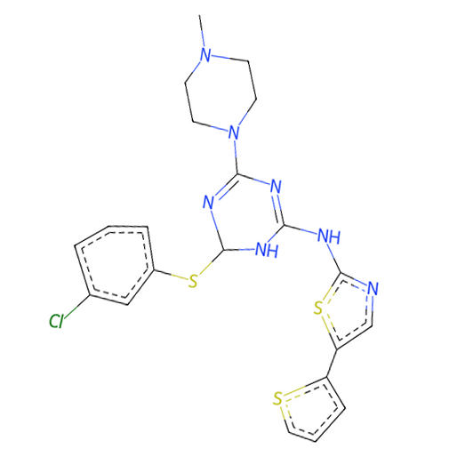 CN1CCN(C2=NC(Sc3cccc(Cl)c3)NC(Nc3ncc(-c4cccs4)s3)=N2)CC1